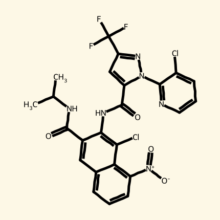 CC(C)NC(=O)c1cc2cccc([N+](=O)[O-])c2c(Cl)c1NC(=O)c1cc(C(F)(F)F)nn1-c1ncccc1Cl